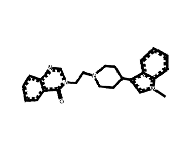 Cn1cc(C2CCN(CCn3cnc4ccccc4c3=O)CC2)c2ccccc21